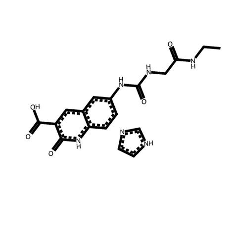 CCNC(=O)CNC(=O)Nc1ccc2[nH]c(=O)c(C(=O)O)cc2c1.c1c[nH]cn1